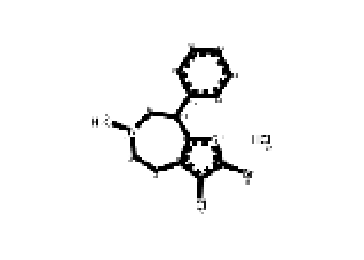 CN1CCc2c(sc(Br)c2Cl)C(c2ccccc2)C1.Cl